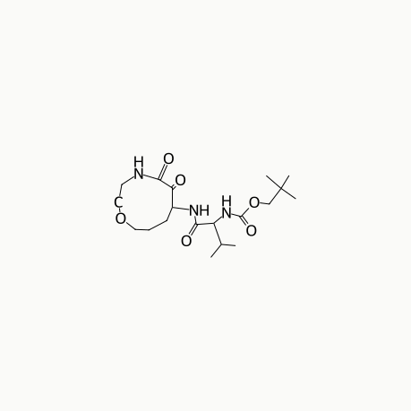 CC(C)C(NC(=O)OCC(C)(C)C)C(=O)NC1CCCOCCNC(=O)C1=O